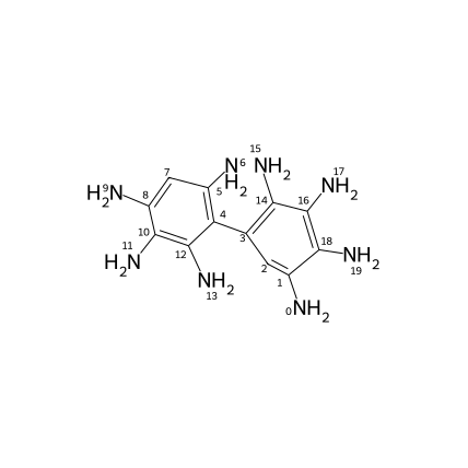 Nc1cc(-c2c(N)cc(N)c(N)c2N)c(N)c(N)c1N